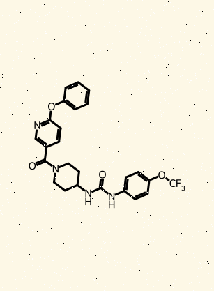 O=C(Nc1ccc(OC(F)(F)F)cc1)NC1CCN(C(=O)c2ccc(Oc3ccccc3)nc2)CC1